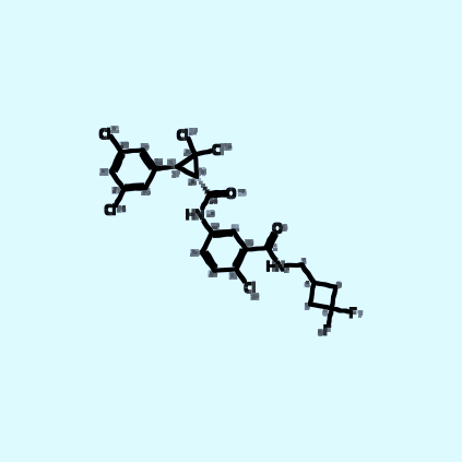 O=C(NCC1CC(F)(F)C1)c1cc(NC(=O)[C@@H]2[C@@H](c3cc(Cl)cc(Cl)c3)C2(Cl)Cl)ccc1Cl